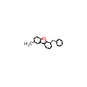 Cc1ccc2oc3c(Cc4ccccc4)cccc3c2c1